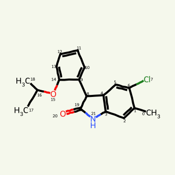 Cc1cc2c(cc1Cl)C(c1ccccc1OC(C)C)C(=O)N2